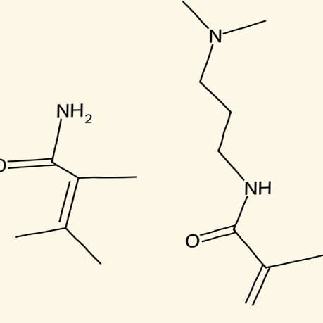 C=C(C)C(=O)NCCCN(C)C.CC(C)=C(C)C(N)=O